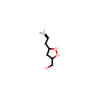 C=CCC1CC(C[O])OO1